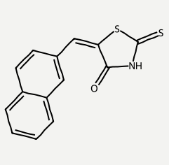 O=C1NC(=S)SC1=Cc1ccc2ccccc2c1